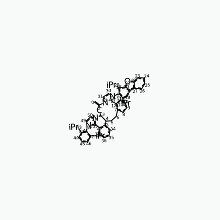 C=C1CC2C(CCc3ccccc3-c3n(-c4c(C(C)C)cc5c(oc6ccccc65)c4C(C)C)cc[n+]31)c1ccccc1-c1n(-c3c(C(C)C)cccc3C(C)C)cc[n+]12